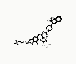 CCOC(=O)c1noc([C@@H](Cc2cc(C)c3nn(COCC[Si](C)(C)C)cc3c2)OC(=O)N2CCC(c3cc4ccccc4[nH]c3=O)CC2)n1